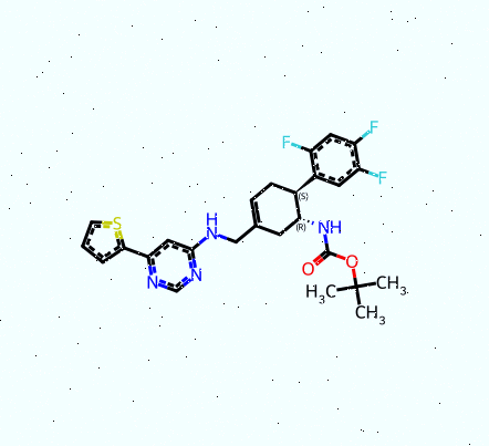 CC(C)(C)OC(=O)N[C@@H]1CC(CNc2cc(-c3cccs3)ncn2)=CC[C@H]1c1cc(F)c(F)cc1F